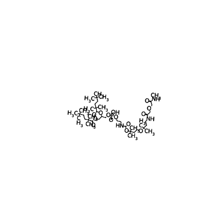 CNC(=O)COCC(=O)NCCC(C)(C)OCCC(C)(C)OC(=O)NCCOP(=O)(O)OCC(COC(=O)C(C)(C)CCC(C)(C)C)OC(=O)C(C)(C)CCC(C)(C)C